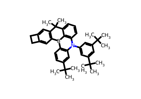 CC(C)(C)c1cc(N2c3cc(C(C)(C)C)ccc3B3c4cc5c(cc4C(C)(C)c4cccc2c43)CC5)cc(C(C)(C)C)c1